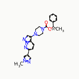 C[C@@H](OC(=O)N1CCN(c2cnn3nc(-c4cnn(C)c4)ccc23)CC1)c1ccccc1